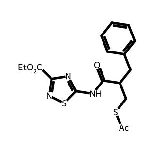 CCOC(=O)c1nsc(NC(=O)C(CSC(C)=O)Cc2ccccc2)n1